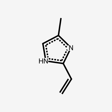 C=Cc1nc(C)c[nH]1